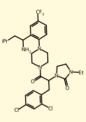 CCN1CCN(C(Cc2ccc(Cl)cc2Cl)C(=O)N2CCN(c3ccc(C(F)(F)F)cc3C(N)CC(C)C)CC2)C1=O